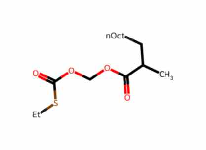 CCCCCCCCCC(C)C(=O)OCOC(=O)SCC